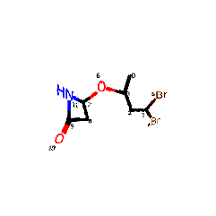 CC(CC(Br)Br)OC1CC(=O)N1